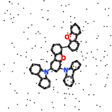 c1ccc2c(c1)oc1c(-c3cccc4c3oc3c(-n5c6ccccc6c6ccccc65)cc(-n5c6ccccc6c6ccccc65)cc34)cccc12